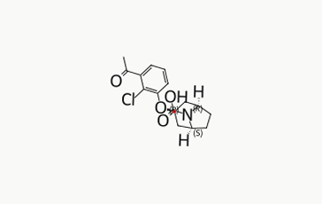 CC(=O)c1cccc(O[C@H]2C[C@H]3CC[C@@H](C2)N3C(=O)O)c1Cl